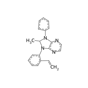 C=Cc1ccccc1N1c2nccnc2N(c2ccccc2)C1C